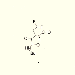 CC[C@H](C)NC(=O)C(=O)C(CC(F)F)NC=O